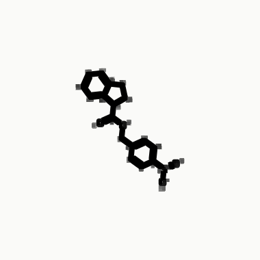 O=C(OCc1ccc([N+](=O)[O-])cc1)C1CCc2ccccc21